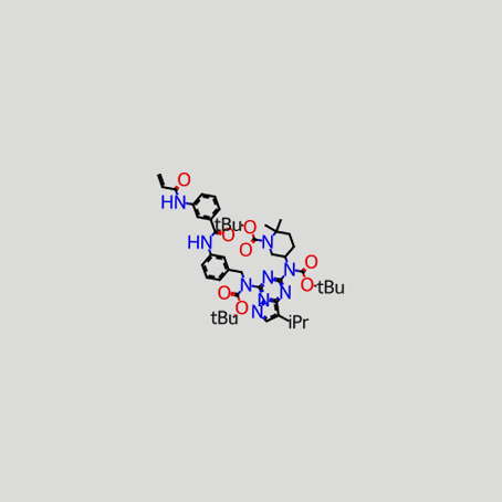 C=CC(=O)Nc1cccc(C(=O)Nc2cccc(CN(C(=O)OC(C)(C)C)c3nc(N(C(=O)OC(C)(C)C)C4CCC(C)(C)N(C(=O)OC(C)(C)C)C4)nc4c(C(C)C)cnn34)c2)c1